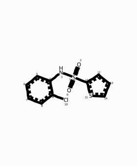 O=S(=O)(Nc1[c]cccc1Cl)c1cccs1